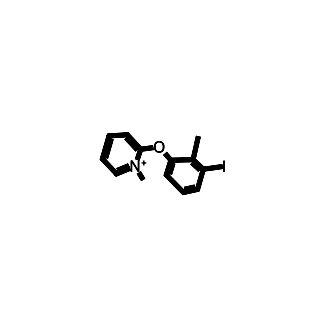 Cc1c(I)cccc1Oc1cccc[n+]1C